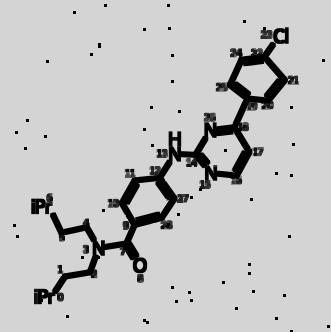 CC(C)CCN(CCC(C)C)C(=O)c1ccc(Nc2nccc(-c3ccc(Cl)cc3)n2)cc1